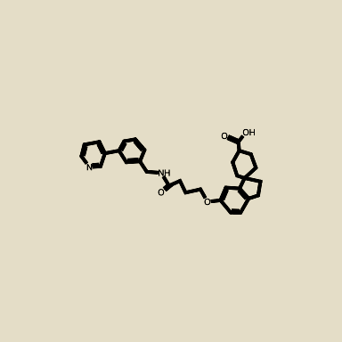 O=C(CCCOc1ccc2c(c1)C1(CC2)CCC(C(=O)O)CC1)NCc1cccc(-c2cccnc2)c1